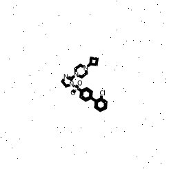 O=S(=O)(c1ccc(-c2ccccc2Cl)cc1)N1CCN=C1N1CCN(C2CCC2)CC1